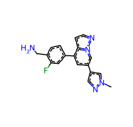 Cn1cc(-c2cc(-c3ccc(CN)c(F)c3)c3ccnn3c2)cn1